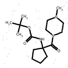 CN1CCN(C(=O)C2(NC(=O)OC(C)(C)C)CCCC2)CC1